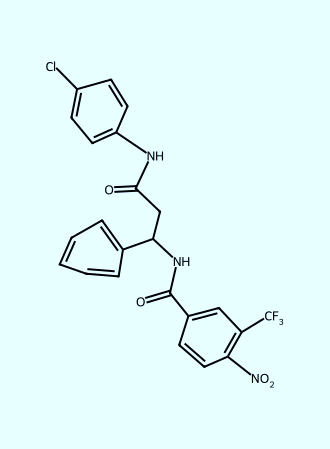 O=C(CC(NC(=O)c1ccc([N+](=O)[O-])c(C(F)(F)F)c1)c1ccccc1)Nc1ccc(Cl)cc1